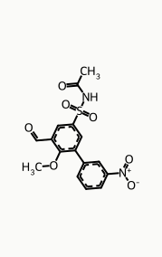 COc1c(C=O)cc(S(=O)(=O)NC(C)=O)cc1-c1cccc([N+](=O)[O-])c1